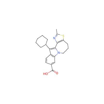 Cc1nc2c(s1)CCCn1c-2c(C2CCCCC2)c2ccc(C(=O)O)cc21